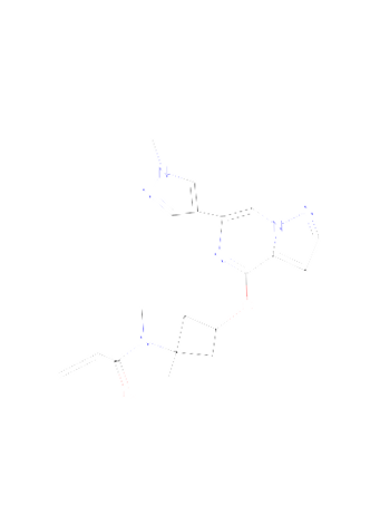 C=CC(=O)N(C)C1(C)CC(Oc2nc(-c3cnn(C)c3)cn3nccc23)C1